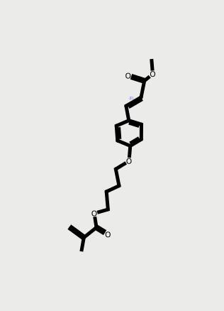 C=C(C)C(=O)OCCCCOc1ccc(/C=C/C(=O)OC)cc1